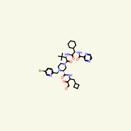 CC(C)(C)[C@H](NC(=O)[C@@H](NC(=O)c1cnccn1)C1CCCCC1)C(=O)N1CCN(Cc2ccc(Br)cn2)[C@@H](C(=O)NC(CC2CCC2)C(=O)C=O)C1